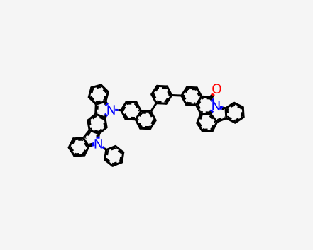 O=c1c2ccc(-c3cccc(-c4cccc5cc(-n6c7ccccc7c7cc8c9ccccc9n(-c9ccccc9)c8cc76)ccc45)c3)cc2c2cccc3c4ccccc4n1c23